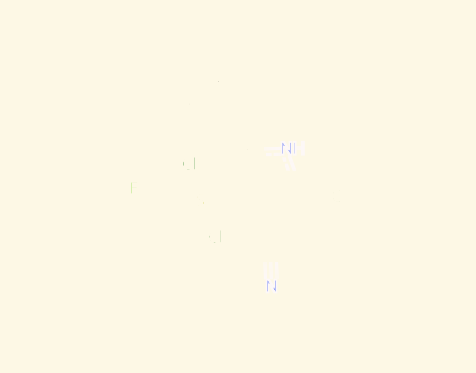 N#Cc1c(Cl)[nH]c(C2CC2)c1S(Cl)(Cl)CF